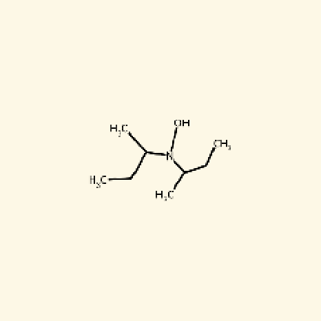 CCC(C)N(O)C(C)CC